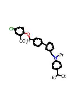 CCC(CC)c1ccc(N(Cc2cccc(-c3ccc(COc4ccc(Cl)cc4C(=O)O)cc3)c2)C(C)C)cc1